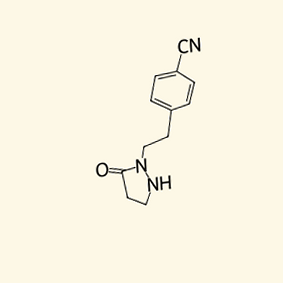 N#Cc1ccc(CCN2NCCC2=O)cc1